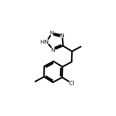 Cc1ccc(CC(C)c2nn[nH]n2)c(Cl)c1